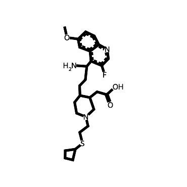 COc1ccc2ncc(F)c(C(N)CCC3CCN(CCSC4CCC4)CC3CC(=O)O)c2c1